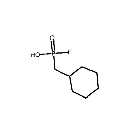 O=P(O)(F)CC1CCCCC1